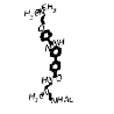 CC(=O)NCCN(C)CCNC(=O)c1ccc(-c2ccc3[nH]c(-c4ccc(OCCCN(C)C)cc4)nc3c2)cc1